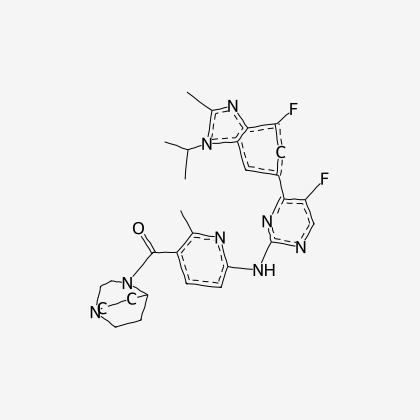 Cc1nc(Nc2ncc(F)c(-c3cc(F)c4nc(C)n(C(C)C)c4c3)n2)ccc1C(=O)N1CCN2CCC1CC2